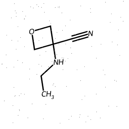 CCNC1(C#N)COC1